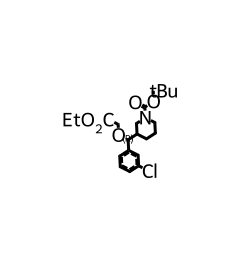 CCOC(=O)CO[C@@H](c1cccc(Cl)c1)C1CCCN(C(=O)OC(C)(C)C)C1